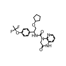 CC(F)(F)Oc1ccc(C(COC2CCCC2)NC(=O)N2CC(=O)Nc3cccnc32)cc1